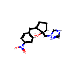 O=[N+]([O-])c1ccc(CC2CCCC2(O)Cn2cncn2)cc1